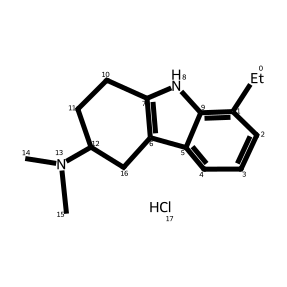 CCc1cccc2c3c([nH]c12)CCC(N(C)C)C3.Cl